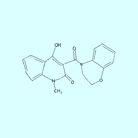 Cn1c(=O)c(C(=O)N2CCOc3ccccc32)c(O)c2ccccc21